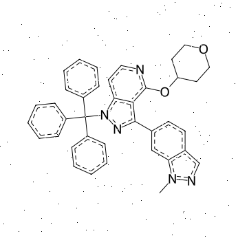 Cn1ncc2ccc(-c3nn(C(c4ccccc4)(c4ccccc4)c4ccccc4)c4ccnc(OC5CCOCC5)c34)cc21